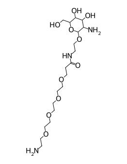 NCCOCCOCCOCCOCCC(=O)NCCOC1OC(CO)C(O)C(O)C1N